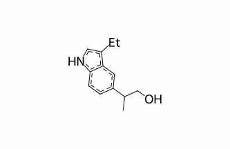 CCc1c[nH]c2ccc(C(C)CO)cc12